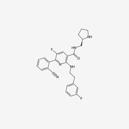 N#Cc1ccccc1-c1nc(NCCc2cccc(F)c2)c(C(=O)NC[C@H]2CCCN2)cc1F